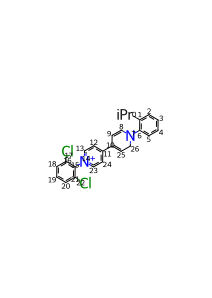 CC(C)c1ccccc1N1C=CC(c2cc[n+](-c3c(Cl)cccc3Cl)cc2)=CC1